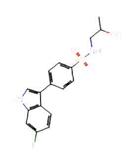 CC(O)CNS(=O)(=O)c1ccc(-c2c[nH]c3cc(F)ccc23)cc1